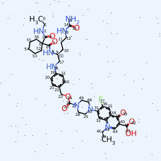 CCNC(=O)C1(C(=O)N[C@@H](CCCNC(N)=O)CNc2ccc(COC(=O)N3CCN(c4cc5c(cc4F)c(=O)c(C(=O)O)cn5CC)CC3)cc2)CCCCC1